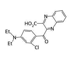 CCN(CC)c1ccc(C(=O)c2nc3ccccc3nc2C(=O)O)c(Cl)c1